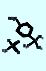 CCOC(=O)c1ccc([N+](C)(C)C)cc1.O=S(=O)([O-])C(F)(F)F